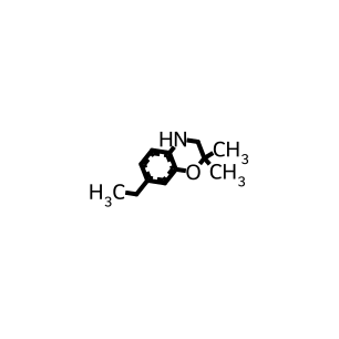 CCc1ccc2c(c1)OC(C)(C)CN2